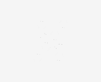 O=c1c2cc(-c3ccccc3)cc3c2c2c(cc(-c4ccccc4)cc2n1-c1ccccc1)c(=O)n3-c1ccccc1